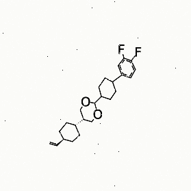 C=C[C@H]1CC[C@H](C2COC(C3CCC(c4ccc(F)c(F)c4)CC3)OC2)CC1